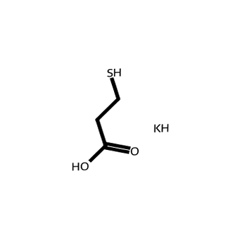 O=C(O)CCS.[KH]